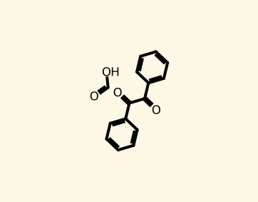 O=C(C(=O)c1ccccc1)c1ccccc1.O=CO